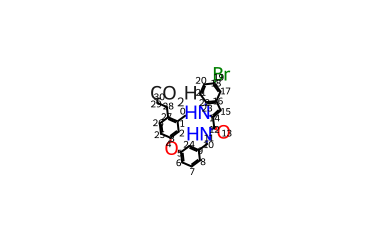 Cc1cc(Oc2cccc(CNC(=O)c3cc4cc(Br)ccc4[nH]3)c2)ccc1CCC(=O)O